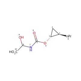 CCC[C@@H]1C[C@H]1OC(=O)NC(O)C(=O)O